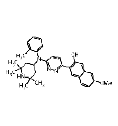 COc1ccc2cc(-c3ccc(N(c4ccccc4C)C4CC(C)(C)NC(C)(C)C4)nn3)c(O)cc2c1